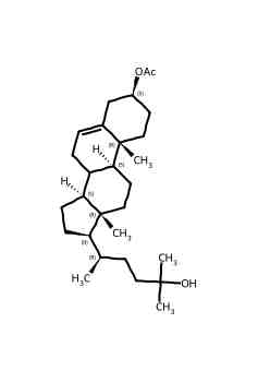 CC(=O)O[C@H]1CC[C@@]2(C)C(=CCC3[C@@H]4CC[C@H]([C@H](C)CCC(C)(C)O)[C@@]4(C)CC[C@@H]32)C1